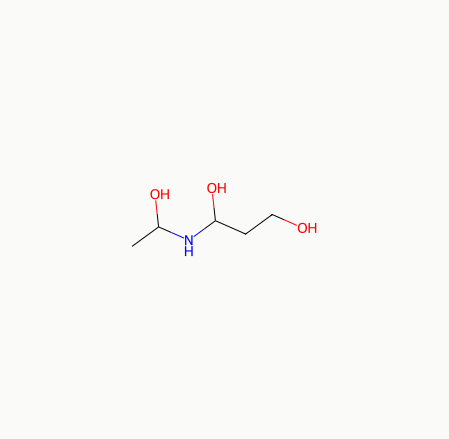 CC(O)NC(O)CCO